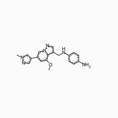 COc1cc(-c2cnn(C)c2)cn2ncc(CNc3ccc(N)cc3)c12